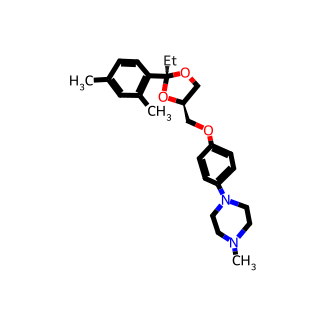 CC[C@@]1(c2ccc(C)cc2C)OC[C@@H](COc2ccc(N3CCN(C)CC3)cc2)O1